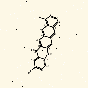 Cc1cccc2cc3cc4sc5ccc(F)cc5c(=O)c4cc3cc12